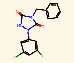 O=c1[nH]n(-c2cc(F)cc(F)c2)c(=O)n1Cc1ccccc1